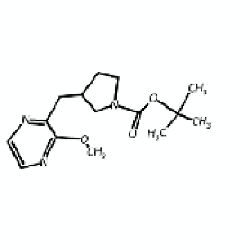 COc1nccnc1CC1CCN(C(=O)OC(C)(C)C)C1